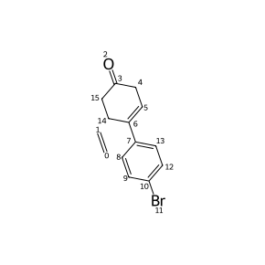 C=C.O=C1CC=C(c2ccc(Br)cc2)CC1